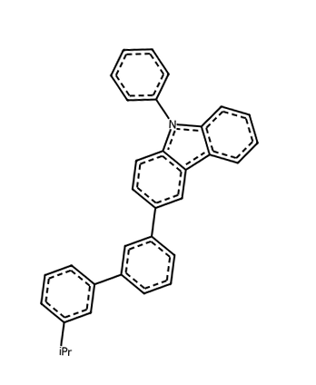 CC(C)c1cccc(-c2cccc(-c3ccc4c(c3)c3ccccc3n4-c3ccccc3)c2)c1